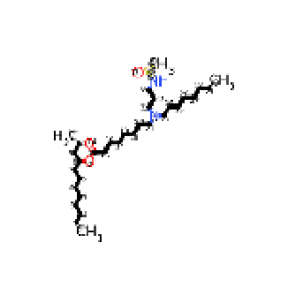 CCCCCCCCC(CCC)OC(=O)CCCCCCCN(CCCCCCCC)CCCN[S+](C)[O-]